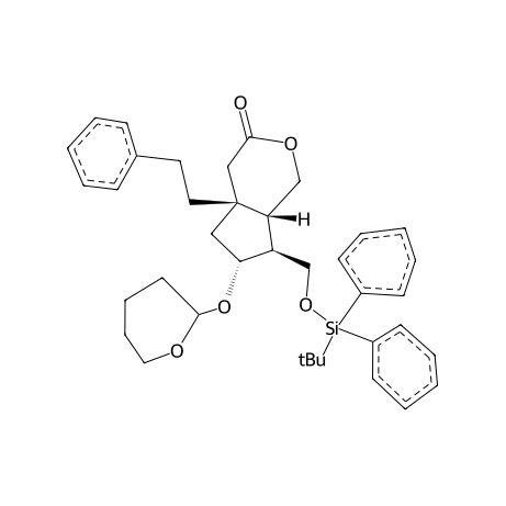 CC(C)(C)[Si](OC[C@@H]1[C@H]2COC(=O)C[C@@]2(CCc2ccccc2)C[C@H]1OC1CCCCO1)(c1ccccc1)c1ccccc1